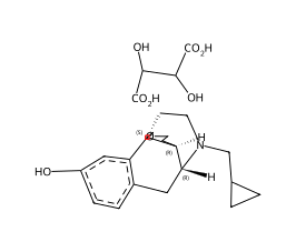 O=C(O)C(O)C(O)C(=O)O.Oc1ccc2c(c1)[C@]13CCN(CC4CC4)[C@H](C2)[C@@H]1CCOC3